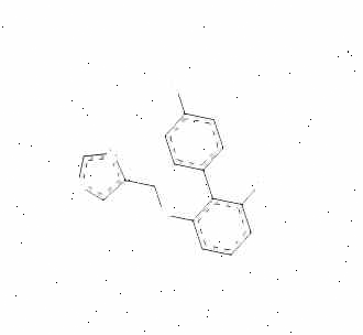 O=Cc1cccc(OCc2cocn2)c1-c1ccc(C(F)(F)F)cc1